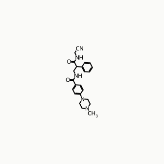 CN1CCN(c2ccc(C(=O)NCC(C(=O)NCC#N)c3ccccc3)cc2)CC1